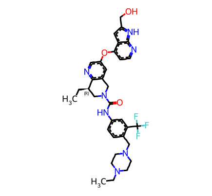 CC[C@@H]1CN(C(=O)Nc2ccc(CN3CCN(CC)CC3)c(C(F)(F)F)c2)Cc2cc(Oc3ccnc4[nH]c(CO)cc34)cnc21